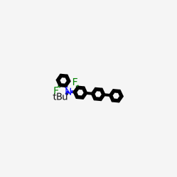 CC(C)(C)N(c1ccccc1F)c1ccc(-c2ccc(-c3ccccc3)cc2)cc1F